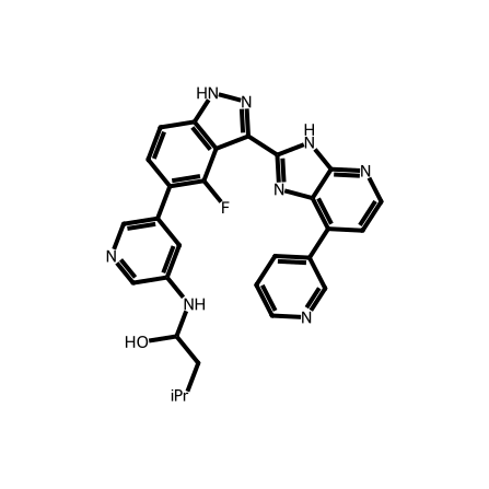 CC(C)CC(O)Nc1cncc(-c2ccc3[nH]nc(-c4nc5c(-c6cccnc6)ccnc5[nH]4)c3c2F)c1